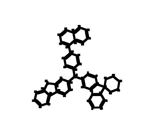 c1ccc(C2(c3ccc(N(c4ccc(-c5cccc6ccccc56)cc4)c4ccc5c(c4)sc4ccccc45)cc3)CCCCC2)cc1